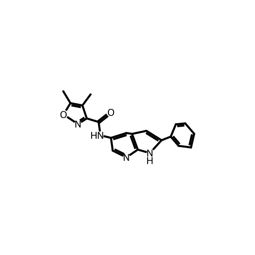 Cc1onc(C(=O)Nc2cnc3[nH]c(-c4ccccc4)cc3c2)c1C